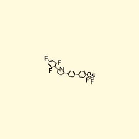 Fc1cc(F)c(C2=NC(c3ccc(-c4ccc(OC(F)(F)F)cc4)cc3)CC2)c(F)c1